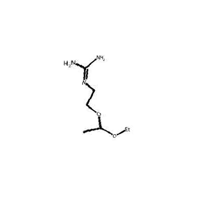 CCOC(C)OCCN=C(N)N